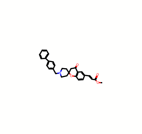 COC(=O)C=Cc1ccc2c(c1)C(=O)CC1(CCN(Cc3ccc(-c4ccccc4)cc3)CC1)O2